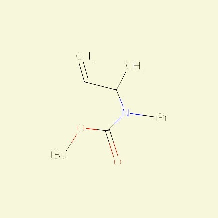 C=CC(C)N(C(=O)OC(C)(C)C)C(C)C